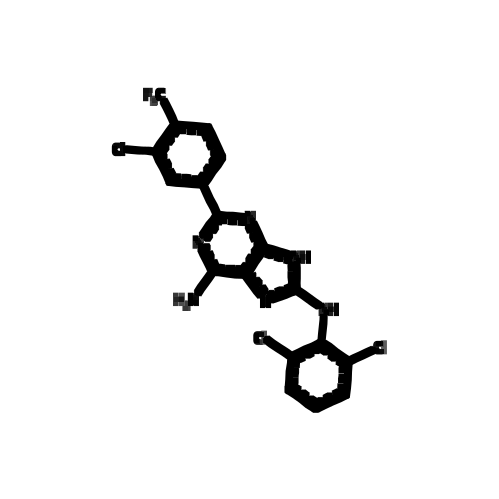 Nc1nc(-c2ccc(C(F)(F)F)c(Cl)c2)nc2[nH]c(Nc3c(Cl)cccc3Cl)nc12